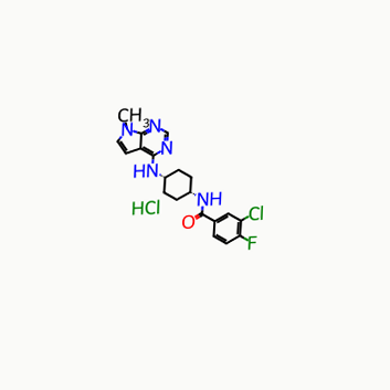 Cl.Cn1ccc2c(N[C@H]3CC[C@@H](NC(=O)c4ccc(F)c(Cl)c4)CC3)ncnc21